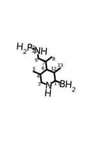 BC1NCC(C)C(C(C)CNP)C1C